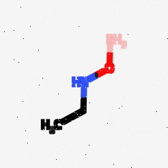 BONCC